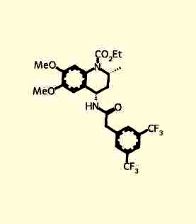 CCOC(=O)N1c2cc(OC)c(OC)cc2[C@@H](NC(=O)Cc2cc(C(F)(F)F)cc(C(F)(F)F)c2)C[C@H]1C